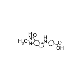 Cc1nc2cc3c(cc2c(=O)[nH]1)[C@@H](Nc1ccc(C(=O)O)cc1)CC3